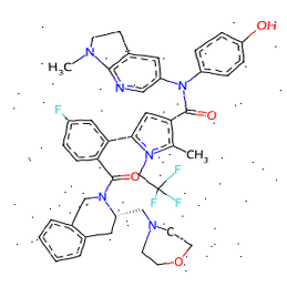 Cc1c(C(=O)N(c2ccc(O)cc2)c2cnc3c(c2)CCN3C)cc(-c2cc(F)ccc2C(=O)N2Cc3ccccc3C[C@H]2CN2CCOCC2)n1CC(F)(F)F